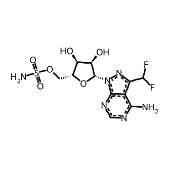 Nc1ncnc2c1c(C(F)F)nn2[C@@H]1O[C@H](COS(N)(=O)=O)[C@@H](O)[C@H]1O